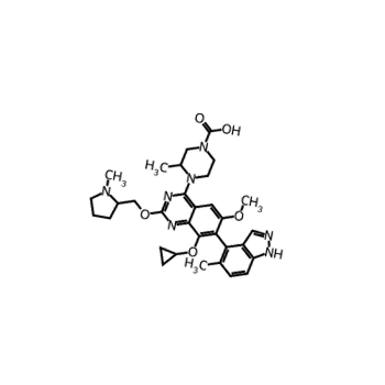 COc1cc2c(N3CCN(C(=O)O)CC3C)nc(OCC3CCCN3C)nc2c(OC2CC2)c1-c1c(C)ccc2[nH]ncc12